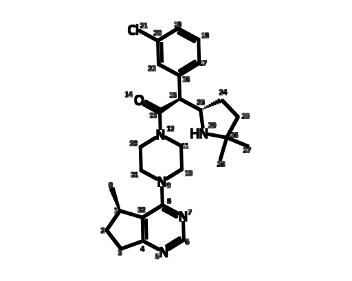 C[C@@H]1CCc2ncnc(N3CCN(C(=O)[C@@H](c4cccc(Cl)c4)[C@@H]4CCC(C)(C)N4)CC3)c21